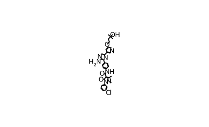 Cc1c(C(=O)Nc2ccc(-c3nc(-c4cncc(OCCC(C)(C)O)c4)cnc3N)cc2)c(=O)n(-c2cccc(Cl)c2)n1C